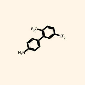 Nc1ccc(-c2cc(C(F)(F)F)ccc2C(F)(F)F)cc1